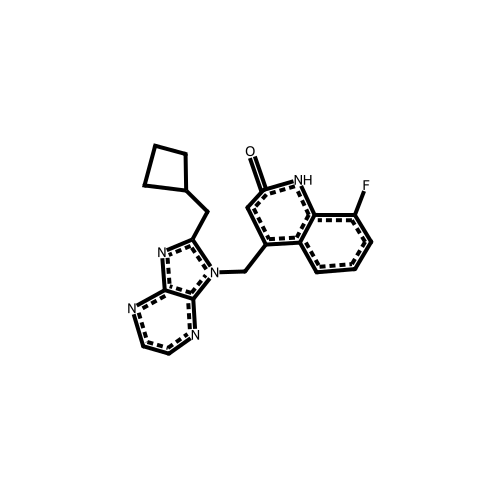 O=c1cc(Cn2c(CC3CCC3)nc3nccnc32)c2cccc(F)c2[nH]1